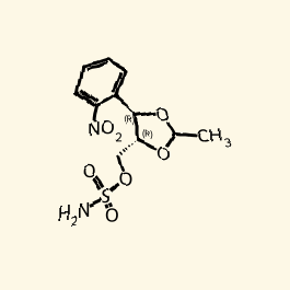 CC1O[C@H](c2ccccc2[N+](=O)[O-])[C@@H](COS(N)(=O)=O)O1